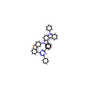 c1ccc(-c2nc(-c3ccccc3)nc(-c3cccc4sc5ccc(-n6c7ccccc7c7c8c9ccccc9n(-c9ccccc9)c8ccc76)cc5c34)n2)cc1